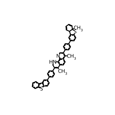 CC1=C(c2ccc(-c3ccc4sc5ccccc5c4c3)cc2)CNc2c1ccc1c(C)c(-c3ccc(-c4ccc5c(c4)C4C=CC=CC4(C)S5)cc3)cnc21